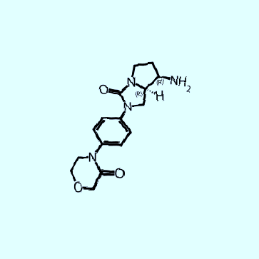 N[C@@H]1CCN2C(=O)N(c3ccc(N4CCOCC4=O)cc3)C[C@H]12